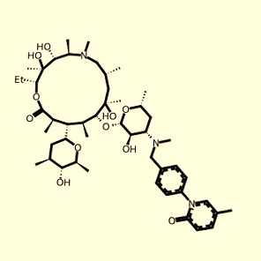 CC[C@H]1OC(=O)[C@H](C)[C@@H](C2C[C@H](C)[C@@H](O)[C@H](C)O2)[C@H](C)[C@@H](O[C@@H]2O[C@H](C)C[C@H](N(C)Cc3ccc(-n4cc(C)ccc4=O)cc3)[C@H]2O)[C@](C)(O)C[C@@H](C)CN(C)[C@H](C)[C@@H](O)[C@]1(C)O